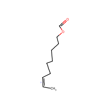 C/C=C\CCCCCCOC=O